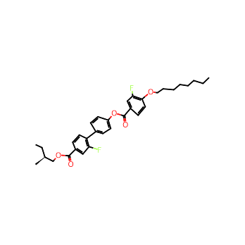 CCCCCCCCOc1ccc(C(=O)Oc2ccc(-c3ccc(C(=O)OC[C@@H](C)CC)cc3F)cc2)cc1F